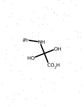 CC(C)NC(O)(O)C(=O)O